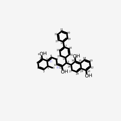 CC1C=CC=C(O)/C1=C/C/C=C(/O)C(C1C=CC(c2ccccc2)=CC1)C1CC=c2c(O)cccc2=C1O